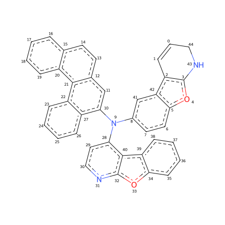 C1=Cc2c(oc3ccc(N(c4cc5ccc6ccccc6c5c5ccccc45)c4ccnc5oc6ccccc6c45)cc23)NC1